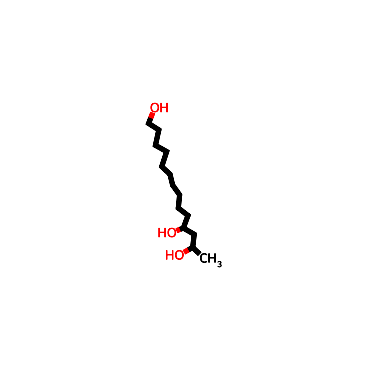 CC(O)CC(O)CCCCCCCCCCO